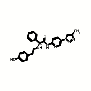 Cc1cn(-c2ccc(NC(=O)[C@@H](NCCc3ccc(C#N)cc3)c3ccccc3)nc2)nn1